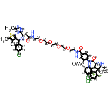 COc1cc(C(=O)NCCOCCOCCOCCOCCNC(=O)C[C@@H]2N=C(c3ccc(Cl)cc3)c3c(sc(C)c3C)-n3c(C)nnc32)ccc1NC(=O)[C@@H]1N[C@@H](CC(C)(C)C)[C@](C#N)(c2ccc(Cl)cc2F)[C@H]1c1cccc(Cl)c1F